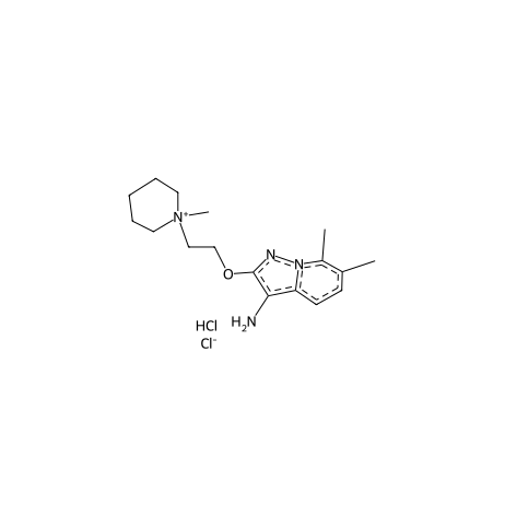 Cc1ccc2c(N)c(OCC[N+]3(C)CCCCC3)nn2c1C.Cl.[Cl-]